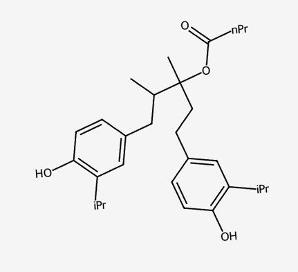 CCCC(=O)OC(C)(CCc1ccc(O)c(C(C)C)c1)C(C)Cc1ccc(O)c(C(C)C)c1